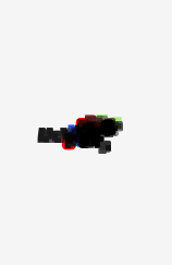 CNC(=O)c1ncc(-n2c(C)cc(OCc3ccc(F)cc3F)c(Br)c2=O)c(C)n1